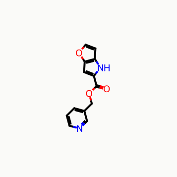 O=C(OCc1cccnc1)c1cc2occc2[nH]1